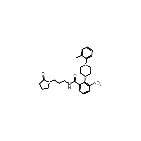 Cc1ccccc1N1CCN(c2c(C(=O)NCCCN3CCCC3=O)cccc2[N+](=O)[O-])CC1